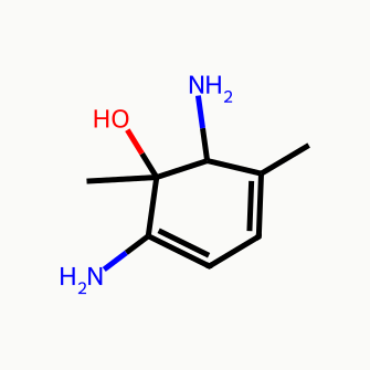 CC1=CC=C(N)C(C)(O)C1N